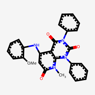 COc1ccccc1Nc1cc(=O)n(C)c2c1c(=O)n(-c1ccccc1)c(=O)n2-c1ccccc1